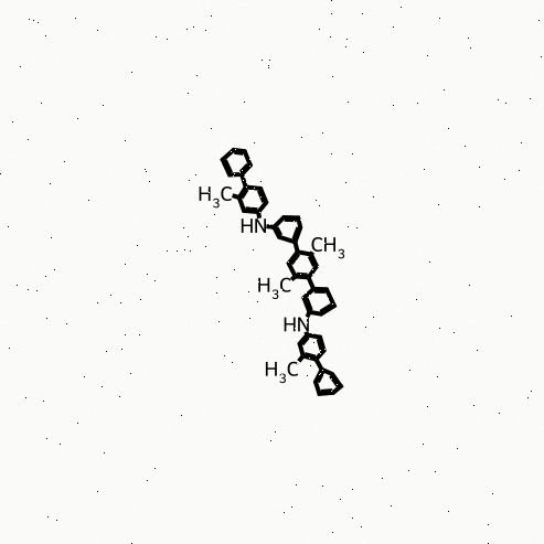 Cc1cc(Nc2cccc(-c3cc(C)c(-c4cccc(Nc5ccc(-c6ccccc6)c(C)c5)c4)cc3C)c2)ccc1-c1ccccc1